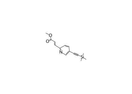 COC(=O)/C=C/c1ccc(C#C[Si](C)(C)C)cn1